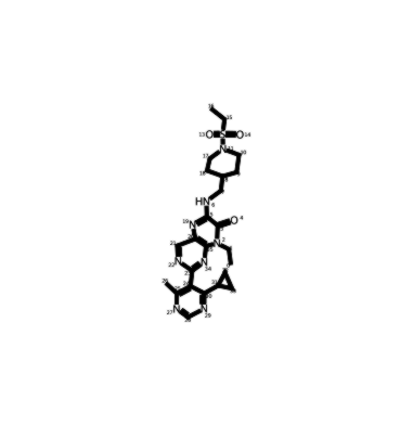 CCn1c(=O)c(NCC2CCN(S(=O)(=O)CC)CC2)nc2cnc(-c3c(C)ncnc3C3CC3)nc21